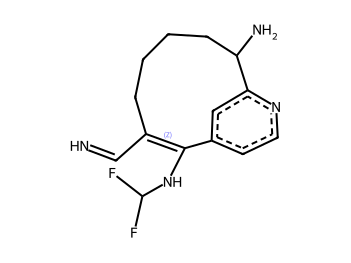 N=C/C1=C(\NC(F)F)c2ccnc(c2)C(N)CCCC1